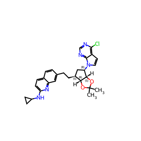 CC1(C)O[C@@H]2[C@@H](CCc3ccc4ccc(NC5CC5)nc4c3)C[C@@H](n3ccc4c(Cl)ncnc43)[C@@H]2O1